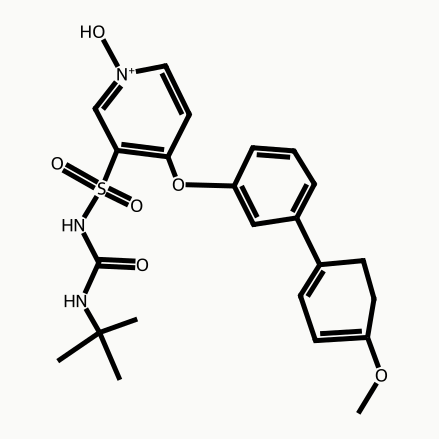 COC1=CC=C(c2cccc(Oc3cc[n+](O)cc3S(=O)(=O)NC(=O)NC(C)(C)C)c2)CC1